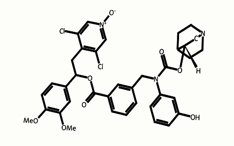 COc1ccc(C(Cc2c(Cl)c[n+]([O-])cc2Cl)OC(=O)c2cccc(CN(C(=O)O[C@H]3CN4CCC3CC4)c3cccc(O)c3)c2)cc1OC